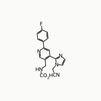 N#CCn1ccnc1-c1cc(-c2ccc(F)cc2)ncc1CNC(=O)O